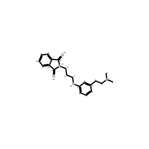 CN(C)CCc1cccc(OCCCN2C(=O)c3ccccc3C2=O)c1